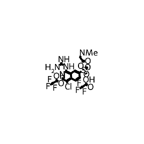 CNCC(=O)OS(=O)(=O)c1ccc2c(Cl)cnc(NC(=N)N)c2c1.O=C(O)C(F)(F)F.O=C(O)C(F)(F)F